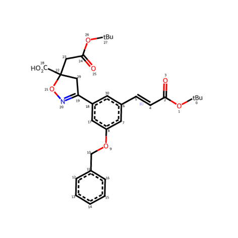 CC(C)(C)OC(=O)/C=C/c1cc(OCc2ccccc2)cc(C2=NOC(CC(=O)OC(C)(C)C)(C(=O)O)C2)c1